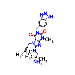 CC#CCn1c(N(C)CC(C)(C)N)nc2c1c(=O)n(Cc1ccc3[nH]nnc3c1)c(=O)n2C